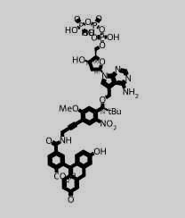 COc1cc([C@@H](OCc2cn([C@H]3C[C@@H](O)[C@@H](COP(=O)(O)OP(=O)(O)OP(=O)(O)O)O3)c3ncnc(N)c23)C(C)(C)C)c([N+](=O)[O-])cc1C#CCNC(=O)c1ccc(C(=O)O)c(C2=C3C=CC(=O)C=C3Cc3cc(O)ccc32)c1